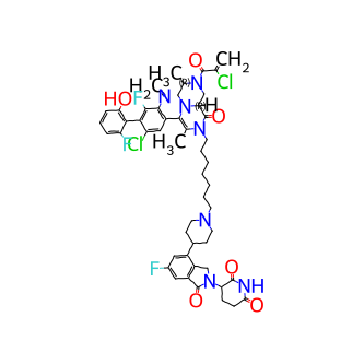 C=Nc1c(C2=C(C)N(CCCCCCCN3CCC(c4cc(F)cc5c4CN(C4CCC(=O)NC4=O)C5=O)CC3)C(=O)[C@H]3CN(C(=O)C(=C)Cl)[C@H](C)CN23)cc(Cl)c(-c2c(O)cccc2F)c1F